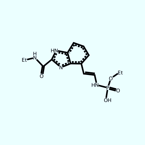 CCNC(=O)c1nc2c(/C=C/NP(=O)(O)OCC)cccc2[nH]1